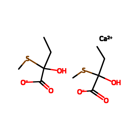 CCC(O)(SC)C(=O)[O-].CCC(O)(SC)C(=O)[O-].[Ca+2]